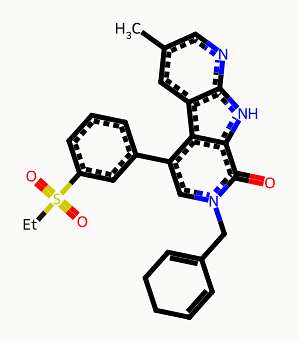 CCS(=O)(=O)c1cccc(-c2cn(CC3=CCCC=C3)c(=O)c3[nH]c4ncc(C)cc4c23)c1